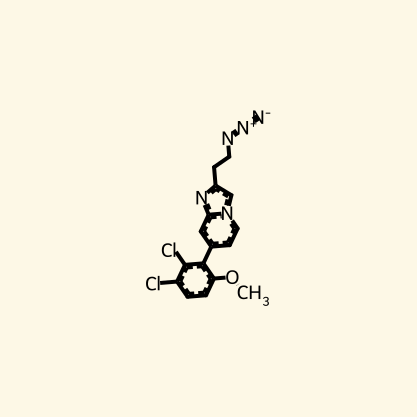 COc1ccc(Cl)c(Cl)c1-c1ccn2cc(CCN=[N+]=[N-])nc2c1